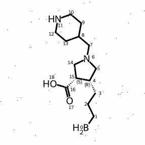 BCCC[C@H]1CN(CC2CCNCC2)C[C@H]1C(=O)O